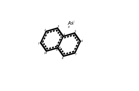 [As].c1ccc2ccccc2c1